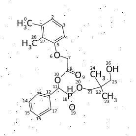 Cc1cccc(OCC(=O)OC(c2ccccc2)[PH](=O)OCC(C)(C)CO)c1C